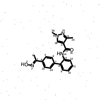 CC(=NO)c1ccc(-c2ccccc2NC(=O)c2cn(C)nc2C)cc1